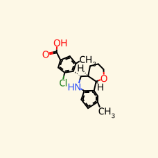 Cc1ccc2c(c1)[C@@H]1OCCC[C@@H]1[C@@H](c1c(C)cc(C(=O)O)cc1Cl)N2